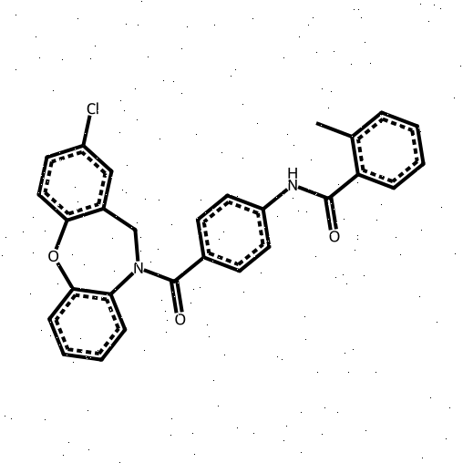 Cc1ccccc1C(=O)Nc1ccc(C(=O)N2Cc3cc(Cl)ccc3Oc3ccccc32)cc1